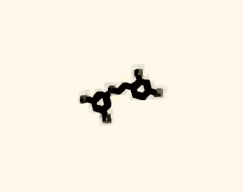 Clc1cc(Cl)cc(OCCc2ccc(Cl)cc2Cl)c1